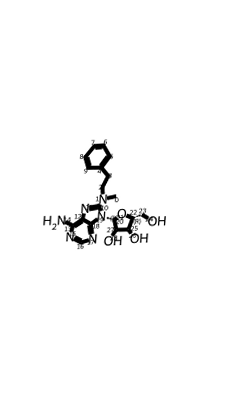 CN(CCc1ccccc1)c1nc2c(N)ncnc2n1[C@@H]1O[C@H](CO)C(O)C1O